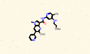 COCCNc1cc(NC(=O)c2cn(C)c3cc(-c4cccnc4)c(C=O)nc23)ncc1C#N